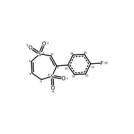 O=S1(=O)C=CCS(=O)(=O)C(c2ccc(F)cc2)=C1